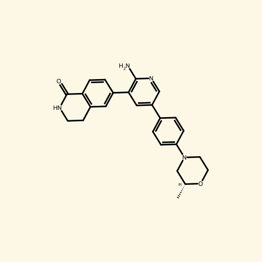 C[C@@H]1CN(c2ccc(-c3cnc(N)c(-c4ccc5c(c4)CCNC5=O)c3)cc2)CCO1